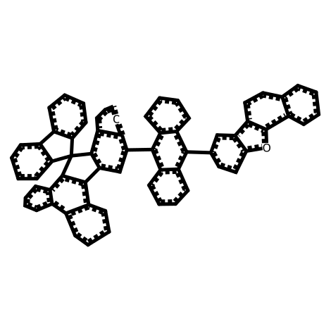 c1ccc2c(c1)-c1ccccc1C21c2c(cc(-c3c4ccccc4c(-c4ccc5oc6c7ccccc7ccc6c5c4)c4ccccc34)c3ccccc23)-c2c1c1ccccc1c1ccccc21